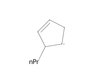 CCCC1[CH]CC=C1